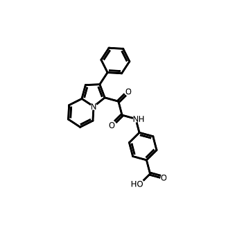 O=C(Nc1ccc(C(=O)O)cc1)C(=O)c1c(-c2ccccc2)cc2ccccn12